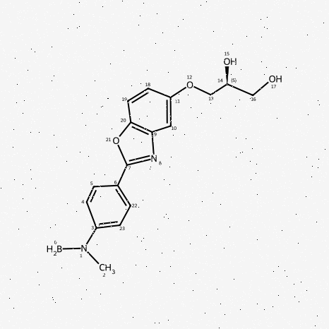 BN(C)c1ccc(-c2nc3cc(OC[C@@H](O)CO)ccc3o2)cc1